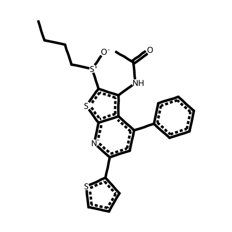 CCCC[S+]([O-])c1sc2nc(-c3cccs3)cc(-c3ccccc3)c2c1NC(C)=O